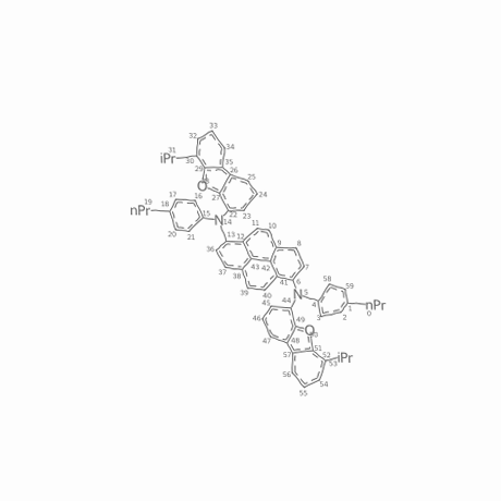 CCCc1ccc(N(c2ccc3ccc4c(N(c5ccc(CCC)cc5)c5cccc6c5oc5c(C(C)C)cccc56)ccc5ccc2c3c54)c2cccc3c2oc2c(C(C)C)cccc23)cc1